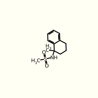 CC1(NS(C)(=O)=O)CCCc2ccccc21